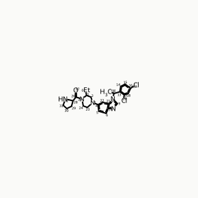 CCC1CN(c2ccc3ncn(C(C)c4ccc(Cl)cc4Cl)c3c2)CCN1C(=O)C1CCCN1